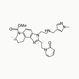 COC(=O)N1c2ccc3c(nc(CCn4ccccc4=O)n3CCNCc3cnn(C)c3)c2CC[C@@H]1C